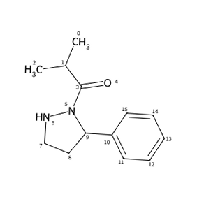 CC(C)C(=O)N1NCCC1c1ccccc1